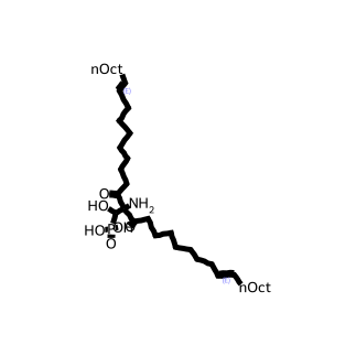 CCCCCCCC/C=C/CCCCCCCC(=O)C(N)(C(=O)CCCCCCC/C=C/CCCCCCCC)C(O)P(=O)(O)O